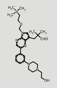 CC(C)(C=O)Cc1cn(COCC[Si](C)(C)C)c2ncc(-c3cccc(N4CCN(CCO)CC4)c3)nc12